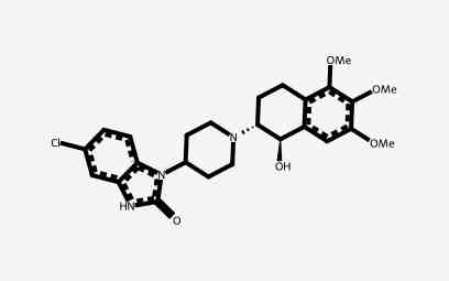 COc1cc2c(c(OC)c1OC)CC[C@@H](N1CCC(n3c(=O)[nH]c4cc(Cl)ccc43)CC1)[C@@H]2O